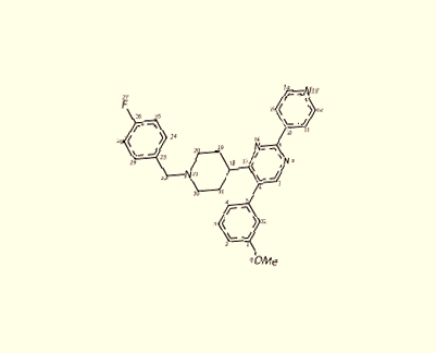 COc1cccc(-c2cnc(-c3ccncc3)nc2C2CCN(Cc3ccc(F)cc3)CC2)c1